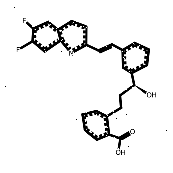 O=C(O)c1ccccc1CC[C@H](O)c1cccc(/C=C/c2ccc3cc(F)c(F)cc3n2)c1